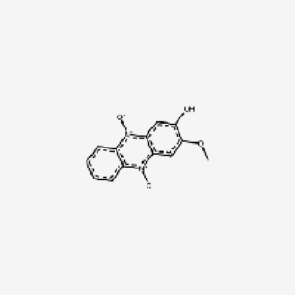 COc1cc2c(cc1O)[n+]([O-])c1ccccc1[n+]2[O-]